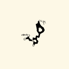 CC(C)(C)OC(=O)Cn1cc(CCc2ccc(C(=O)O)cc2)ccc1=O